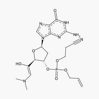 C=CCOP(=O)(OCCC#N)O[C@H]1C[C@H](n2cnc3c(=O)[nH]c(N)nc32)O[C@@H]1C(O)=CN(C)C